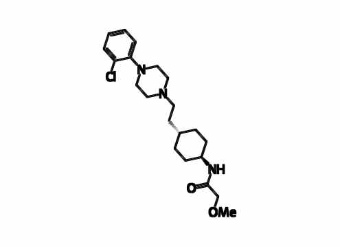 COCC(=O)N[C@H]1CC[C@H](CCN2CCN(c3ccccc3Cl)CC2)CC1